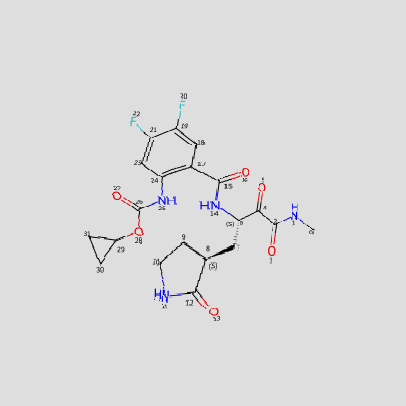 CNC(=O)C(=O)[C@H](C[C@@H]1CCNC1=O)NC(=O)c1cc(F)c(F)cc1NC(=O)OC1CC1